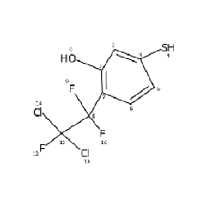 Oc1cc(S)ccc1C(F)(F)C(F)(Cl)Cl